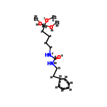 CCO[Si](CCCCNC(=O)NCCc1ccccc1)(OCC)OCC